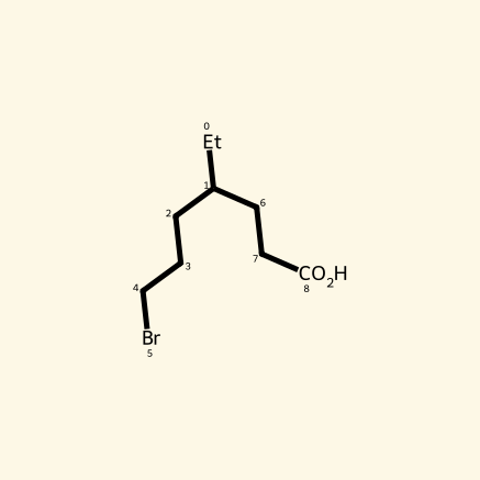 CCC(CCCBr)CCC(=O)O